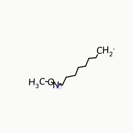 [CH2]CCCCCC/C=N\OC